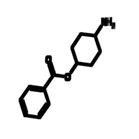 NC1CCC(OC(=O)c2ccccc2)CC1